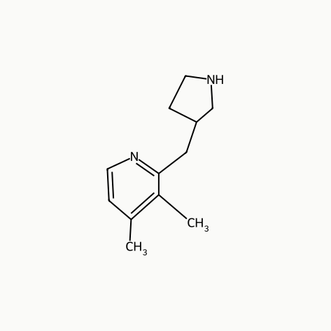 Cc1ccnc(CC2CCNC2)c1C